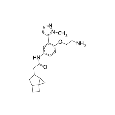 Cn1nccc1-c1cc(NC(=O)CC2CC3CCC34CC24)ccc1OCCN